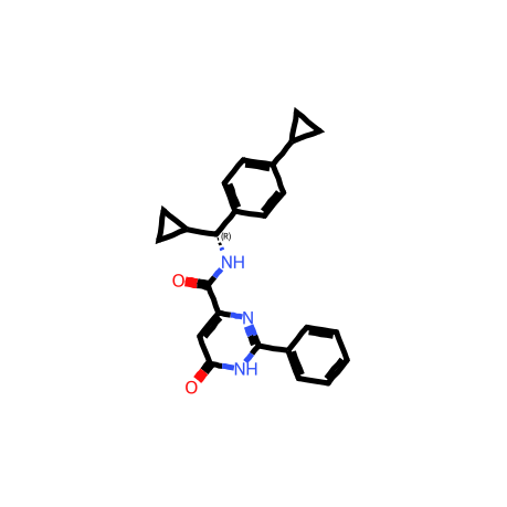 O=C(N[C@@H](c1ccc(C2CC2)cc1)C1CC1)c1cc(=O)[nH]c(-c2ccccc2)n1